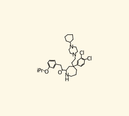 CC(C)Oc1cccc(CC(=O)C2CC(CCN3CCN(C4CCCCC4)CC3)(c3ccc(Cl)c(Cl)c3)CCCN2)c1